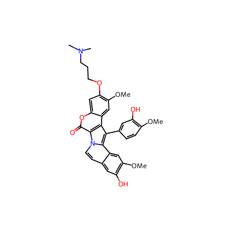 COc1ccc(-c2c3c4cc(OC)c(OCCCN(C)C)cc4oc(=O)c3n3ccc4cc(O)c(OC)cc4c23)cc1O